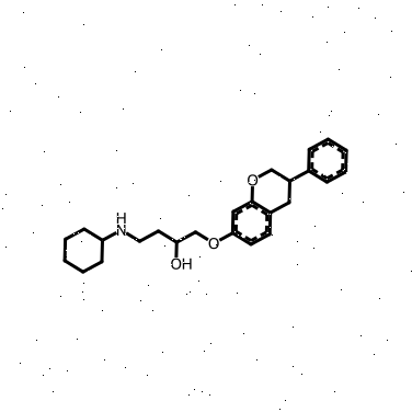 OC(CCNC1CCCCC1)COc1ccc2c(c1)OCC(c1ccccc1)C2